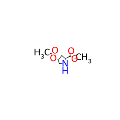 COC(=O)[C@@H]1C[C@@H](OC(C)=O)CN1